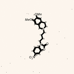 COc1cc2c(cc1OC)CN(CCCCn1c(=O)oc3cc([N+](=O)[O-])ccc31)CC2